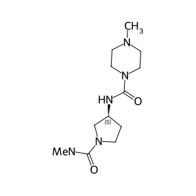 CNC(=O)N1CC[C@H](NC(=O)N2CCN(C)CC2)C1